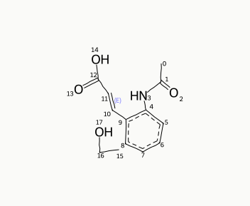 CC(=O)Nc1ccccc1/C=C/C(=O)O.CCO